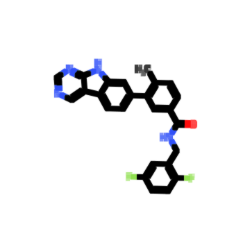 Cc1ccc(C(=O)NCc2cc(F)ccc2F)cc1-c1ccc2c(c1)[nH]c1ncncc12